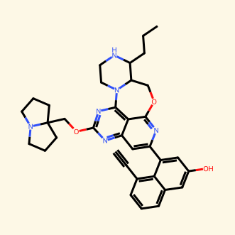 C#Cc1cccc2cc(O)cc(-c3cc4nc(OCC56CCCN5CCC6)nc5c4c(n3)OCC3C(CCC)NCCN53)c12